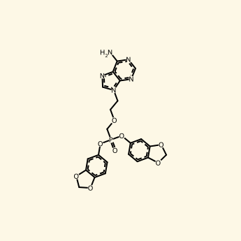 Nc1ncnc2c1ncn2CCOCP(=O)(Oc1ccc2c(c1)OCO2)Oc1ccc2c(c1)OCO2